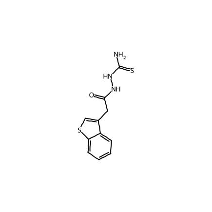 NC(=S)NNC(=O)Cc1csc2ccccc12